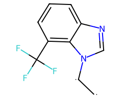 [CH2][CH]n1cnc2cccc(C(F)(F)F)c21